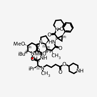 CC[C@H](C)[C@@H]([C@@H](CC(=O)N1CCC[C@H]1[C@H](OC)[C@@H](C)C(=O)N[C@@]1(C(=O)N2CCCCO2)C[C@@H]1c1ccccc1)OC)N(C)C(=O)[C@@H](NC(=O)[C@H](C(C)C)N(C)CCCC(=O)OC1CCNCC1)C(C)C